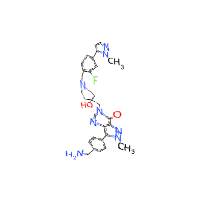 Cn1nccc1-c1ccc(CN2CCC(O)(Cn3cnc4c(-c5ccc(CN)cc5)n(C)nc4c3=O)CC2)c(F)c1